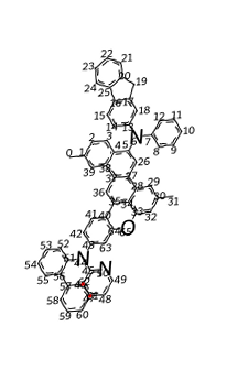 Cc1ccc2c(N(c3ccccc3)c3ccc4c(c3)Cc3ccccc3-4)cc3c4cc(C)cc5c4c(cc3c2c1)-c1ccc(N(c2ccccn2)c2ccccc2-c2ccccc2)cc1O5